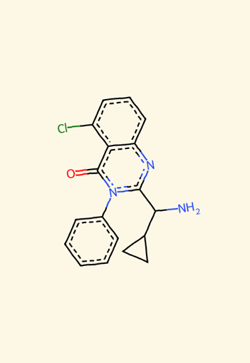 NC(c1nc2cccc(Cl)c2c(=O)n1-c1ccccc1)C1CC1